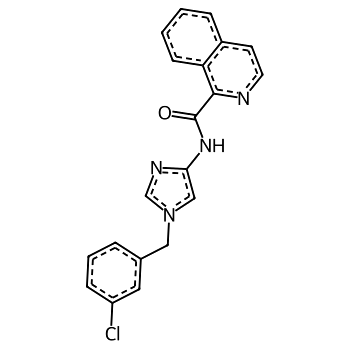 O=C(Nc1cn(Cc2cccc(Cl)c2)cn1)c1nccc2ccccc12